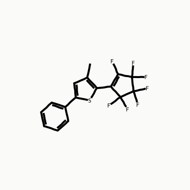 Cc1cc(-c2ccccc2)sc1C1=C(F)C(F)(F)C(F)(F)C1(F)F